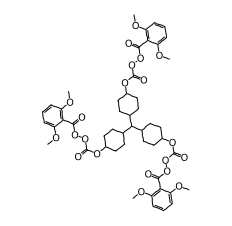 COc1cccc(OC)c1C(=O)OOC(=O)OC1CCC(C(C2CCC(OC(=O)OOC(=O)c3c(OC)cccc3OC)CC2)C2CCC(OC(=O)OOC(=O)c3c(OC)cccc3OC)CC2)CC1